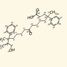 C=C(CO)C(C)(CCCCC(=O)CCCCC(C)(CCC(=O)O)c1ccccc1)c1ccccc1